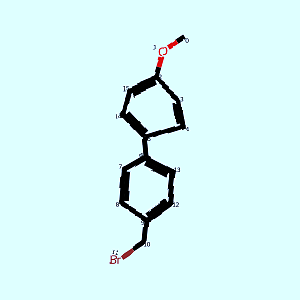 COc1ccc(-c2ccc(CBr)cc2)cc1